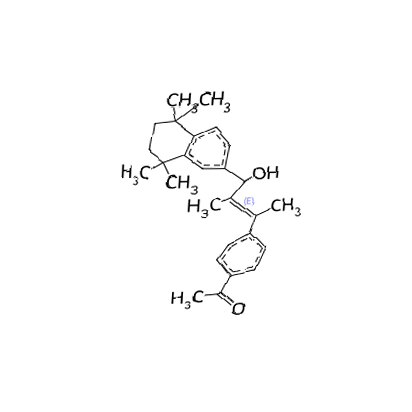 CC(=O)c1ccc(/C(C)=C(\C)C(O)c2ccc3c(c2)C(C)(C)CCC3(C)C)cc1